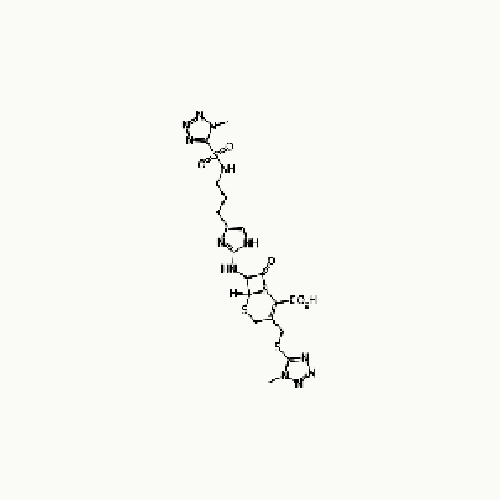 Cn1nnnc1SCC1=C(C(=O)O)N2C(=O)C(Nc3nc(CCCNS(=O)(=O)c4nnnn4C)c[nH]3)[C@H]2SC1